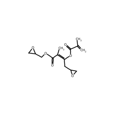 C=C(C)C(=O)OC(CC1CO1)=C(C)C(=O)OCC1CO1